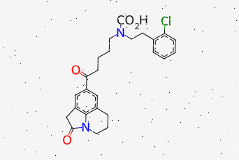 O=C(CCCCN(CCc1ccccc1Cl)C(=O)O)c1cc2c3c(c1)CC(=O)N3CCC2